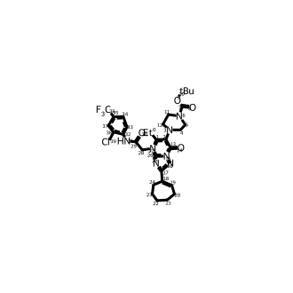 CCc1c(N2CCN(C(=O)OC(C)(C)C)CC2)c(=O)n2nc(C3=CCCCCC3)nc2n1CC(=O)Nc1ccc(C(F)(F)F)cc1Cl